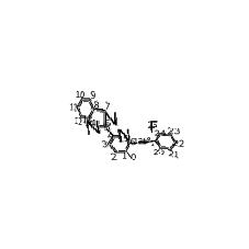 Cc1ccc(-c2ncc3ccccc3n2)nc1C#Cc1ccccc1F